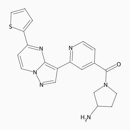 NC1CCN(C(=O)c2ccnc(-c3cnn4ccc(-c5cccs5)nc34)c2)C1